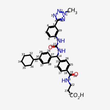 Cn1nnc(-c2cccc(NC(=O)NC(c3ccc(C(=O)NCCC(=O)O)cc3)c3ccc(C4CCCCC4)cc3)c2)n1